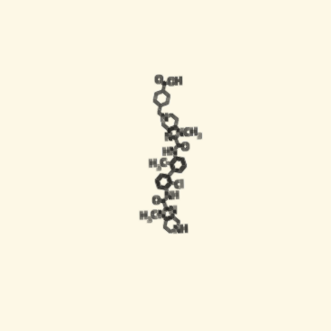 Cc1c(NC(=O)c2nc3c(n2C)CCN(CC2CCC(C(=O)O)CC2)C3)cccc1-c1cccc(NC(=O)c2nc3c(n2C)CCNC3)c1Cl